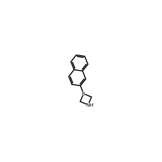 c1ccc2cc(B3CNC3)ccc2c1